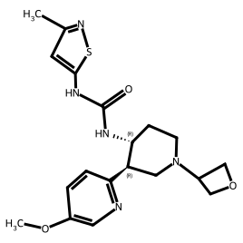 COc1ccc([C@@H]2CN(C3COC3)CC[C@H]2NC(=O)Nc2cc(C)ns2)nc1